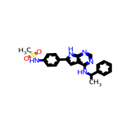 CC(Nc1ncnc2[nH]c(-c3ccc(NS(C)(=O)=O)cc3)cc12)c1ccccc1